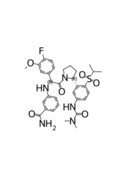 COc1cc([C@@H](Nc2cccc(C(N)=O)c2)C(=O)N2CCC[C@@H]2c2cc(NC(=O)N(C)C)ccc2S(=O)(=O)C(C)C)ccc1F